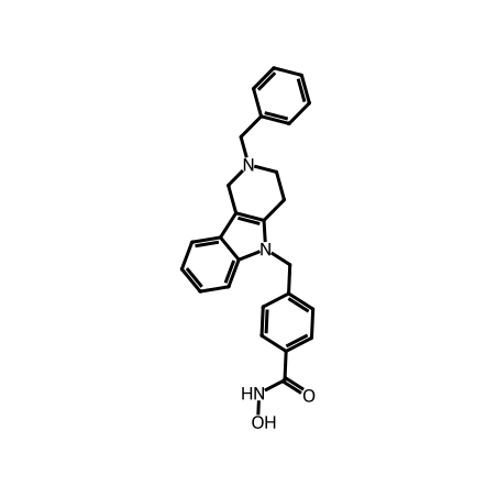 O=C(NO)c1ccc(Cn2c3c(c4ccccc42)CN(Cc2ccccc2)CC3)cc1